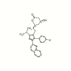 CC(C)c1nn(-c2ccc3ccccc3n2)c(-c2ccc(F)cc2)c1CC[C@@H]1C[C@H](O)CC(=O)O1